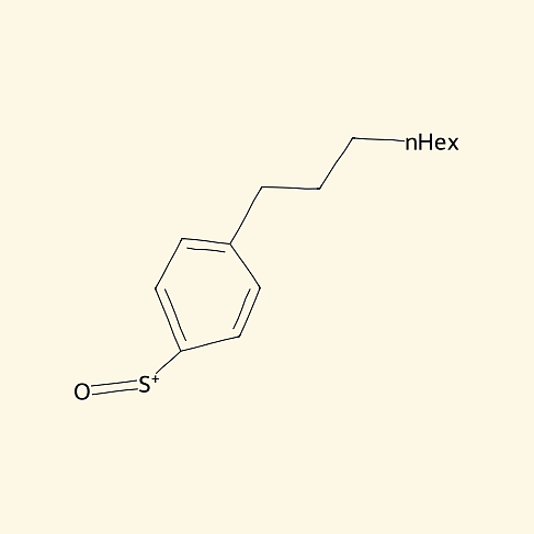 CCCCCCCCCc1ccc([S+]=O)cc1